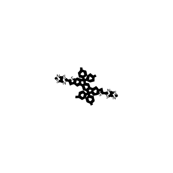 Cc1ccc(C2(c3ccc(C)cc3)c3cc4c(cc3-c3cc5cc(-c6nc7scnc7s6)sc5cc32)C(c2ccc(C)cc2)(c2ccc(C)cc2)c2cc3sc(-c5nc6scnc6s5)cc3cc2-4)cc1